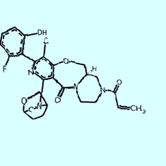 C=CC(=O)N1CCN2C(=O)c3c(N4CC5CCC4CO5)nc(-c4c(O)cccc4F)c(Cl)c3OC[C@H]2C1